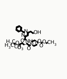 CCOC(=O)ON1CCN(C(=O)[C@H](CCC(=O)OC(C)(C)C)NC(=O)c2cc(CCO)nc(-c3ccccc3)n2)CC1